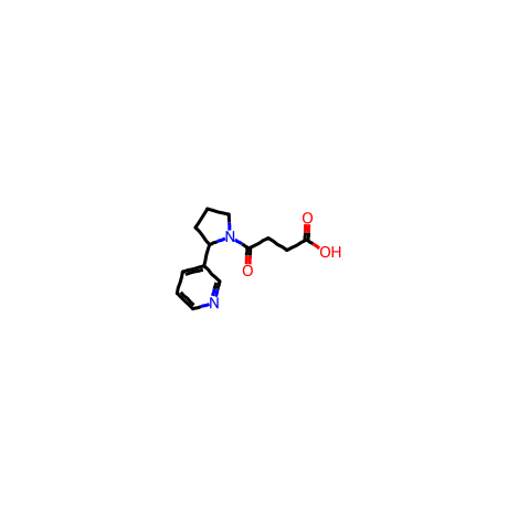 O=C(O)CCC(=O)N1CCCC1c1cccnc1